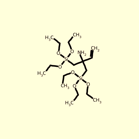 C=CC(N)(C[Si](OCC)(OCC)OCC)C[Si](OCC)(OCC)OCC